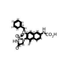 O=C(O)Nc1ccc2c(F)c(N3CC(=O)NS3(=O)=O)c(OCc3ccccc3)cc2c1